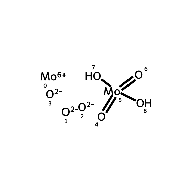 [Mo+6].[O-2].[O-2].[O-2].[O]=[Mo](=[O])([OH])[OH]